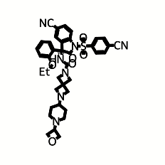 CCOc1ccccc1[C@@]1(NC(=O)N2CC3(C2)CN(C2CCN(C4COC4)CC2)C3)C(=O)N(S(=O)(=O)c2ccc(C#N)cc2)c2ccc(C#N)cc21